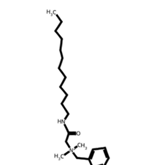 CCCCCCCCCCCCNC(=O)C[N+](C)(C)Cc1ccccc1